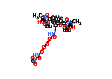 COc1cc2c(cc1OCc1cc(C#CCNC(=O)CCOCCOCCOCCOCCNC(=O)CCN3C(=O)C=CC3=O)cc(COc3cc4c(cc3OC)C(=O)N3C=C(C)C[C@H]3[C@H](O)N4C(=O)OC(C)(C)C)c1)N(C(=O)OC(C)(C)C)[C@@H](O)[C@@H]1CC(C)=CN1C2=O